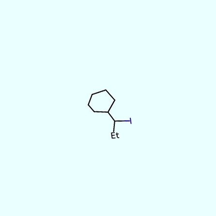 [CH2]CC(I)C1CCCCC1